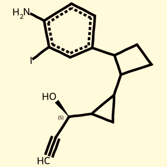 C#C[C@@H](O)C1CC1C1CCC1c1ccc(N)c(I)c1